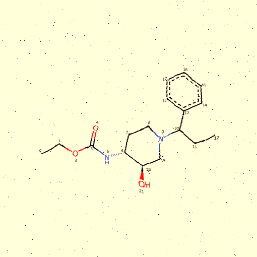 CCOC(=O)N[C@@H]1CCN(C(CC)c2ccccc2)C[C@H]1O